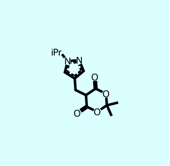 CC(C)n1cc(CC2C(=O)OC(C)(C)OC2=O)cn1